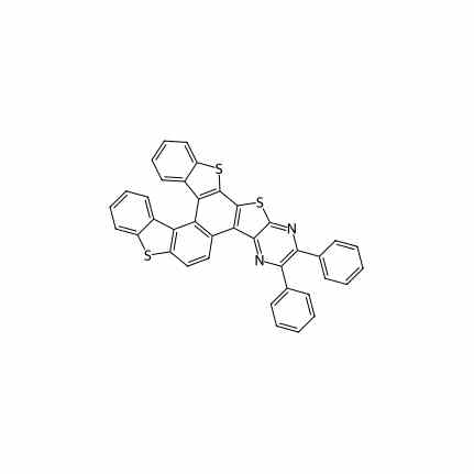 c1ccc(-c2nc3sc4c5sc6ccccc6c5c5c(ccc6sc7ccccc7c65)c4c3nc2-c2ccccc2)cc1